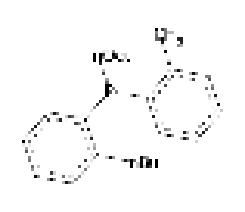 CCCCCCCCP(c1ccccc1C)c1ccccc1CCCC